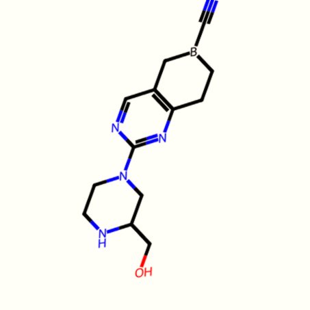 N#CB1CCc2nc(N3CCNC(CO)C3)ncc2C1